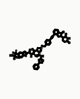 CC(C)(C)[C@H](NC(=O)c1cc2cc(C(F)(F)P(=O)(O)O)ccc2s1)C(=O)N1C[C@H](OCc2ccc(C#Cc3cccc4c3CN(C3CCC(=O)NC3=O)C4=O)cc2)C[C@H]1C(=O)Nc1ncc(-c2ccccc2)s1